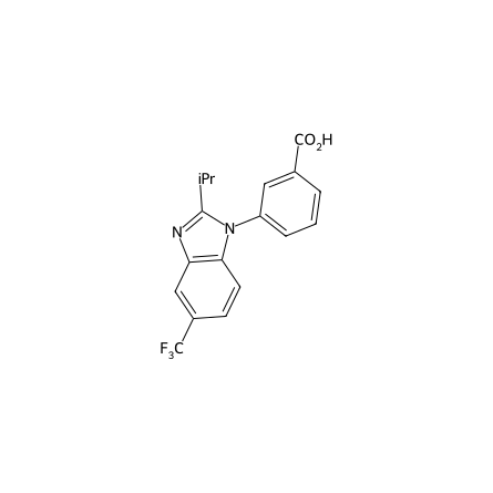 CC(C)c1nc2cc(C(F)(F)F)ccc2n1-c1cccc(C(=O)O)c1